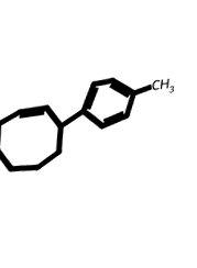 Cc1ccc(C2C=CCCCCC2)cc1